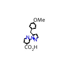 COc1ccc(Cc2ccnn2-c2cc(C(=O)O)ccn2)cc1